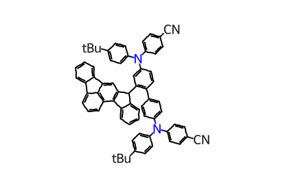 CC(C)(C)c1ccc(N(c2ccc(C#N)cc2)c2ccc(-c3ccc(N(c4ccc(C#N)cc4)c4ccc(C(C)(C)C)cc4)cc3C3c4ccccc4-c4c3cc3c5c(cccc45)-c4ccccc4-3)cc2)cc1